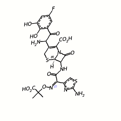 CC(C)(O/N=C(\C(=O)NC1C(=O)N2C(C(=O)O)=C(C(N)C(=O)c3cc(F)cc(O)c3O)CS[C@H]12)c1csc(N)n1)C(=O)O